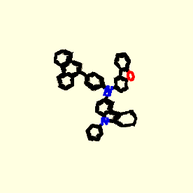 C1=Cc2c(n(-c3ccccc3)c3ccc(N(c4ccc(-c5cc6ccccc6c6ccccc56)cc4)c4ccc5oc6ccccc6c5c4)cc23)CC1